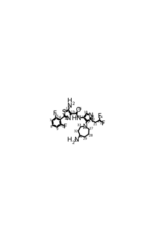 Nc1sc(-c2c(F)cccc2F)nc1C(=O)Nc1cnn(CC(F)F)c1N1CCCC(N)CC1